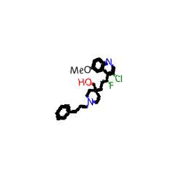 COc1ccc2ncc(Cl)c([C@H](F)CCC3(CO)CCN(CCCc4ccccc4)CC3)c2c1